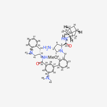 COc1c(CN2C[C@H](N)C[C@H]2C(=O)N[C@H]2C[C@H]3C[C@@H]([C@@H]2C)C3(C)C)cccc1-c1cc(C(=O)N[C@@H](Cc2ccccc2)CN(C)C)cc(N(C)C)c1